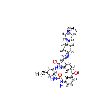 Cc1cccc(NC(=O)Nc2cccc(C(=O)c3ccc4c(c3)NC(=O)/C4=C/Nc3ccc(N4CCN(C)CC4)cc3)c2)c1